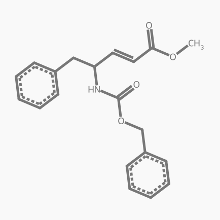 COC(=O)C=CC(Cc1ccccc1)NC(=O)OCc1ccccc1